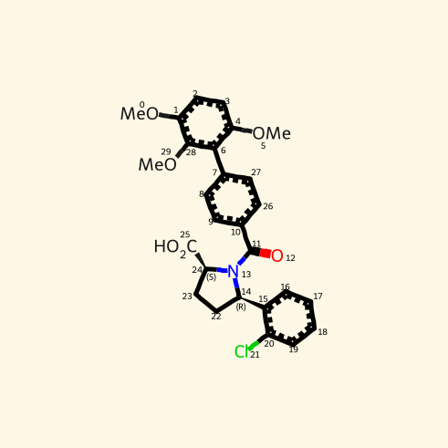 COc1ccc(OC)c(-c2ccc(C(=O)N3[C@@H](c4ccccc4Cl)CC[C@H]3C(=O)O)cc2)c1OC